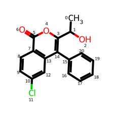 CC(O)c1oc(=O)c2ccc(Cl)cc2c1-c1ccccc1